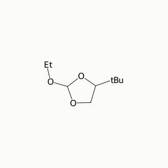 CCOC1OCC(C(C)(C)C)O1